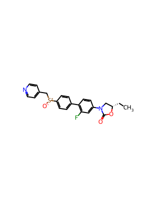 CC[C@H]1CN(c2ccc(-c3ccc([S+]([O-])Cc4ccncc4)cc3)c(F)c2)C(=O)O1